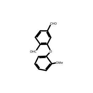 COc1ccccc1Oc1cc(C=O)ccc1C=O